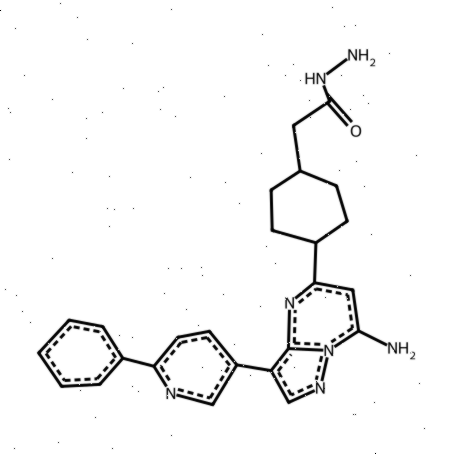 NNC(=O)CC1CCC(c2cc(N)n3ncc(-c4ccc(-c5ccccc5)nc4)c3n2)CC1